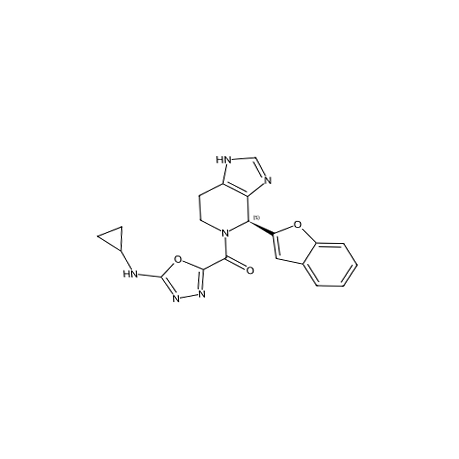 O=C(c1nnc(NC2CC2)o1)N1CCc2[nH]cnc2[C@H]1c1cc2ccccc2o1